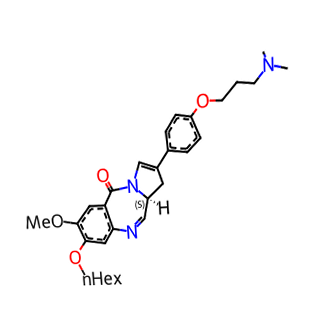 CCCCCCOc1cc2c(cc1OC)C(=O)N1C=C(c3ccc(OCCCN(C)C)cc3)C[C@H]1C=N2